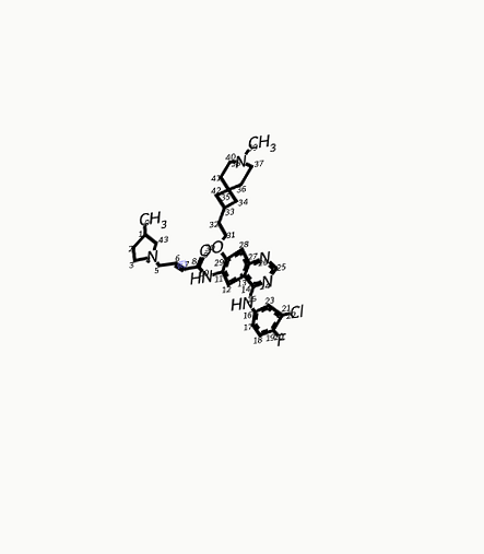 CC1CCN(C/C=C/C(=O)Nc2cc3c(Nc4ccc(F)c(Cl)c4)ncnc3cc2OCCC2CC3(CCN(C)CC3)C2)C1